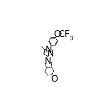 Cc1cc(N2CC3CCC(=O)CC3C2)nn1-c1ccc(OC(F)(F)F)cc1